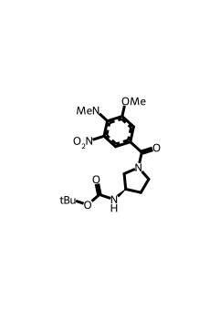 CNc1c(OC)cc(C(=O)N2CC[C@@H](NC(=O)OC(C)(C)C)C2)cc1[N+](=O)[O-]